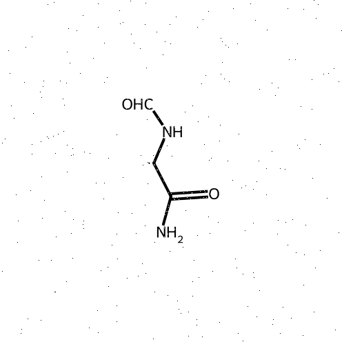 NC(=O)[CH]NC=O